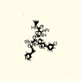 CCC[C@H](NC(=O)[C@@H]1C[C@]2(CC(c3cccc(Cl)c3)=NO2)CN1C(=O)[C@@H](NC(=O)C1CC1c1ccncc1)C(C)(C)C)C(=O)C(=O)NC1CC1